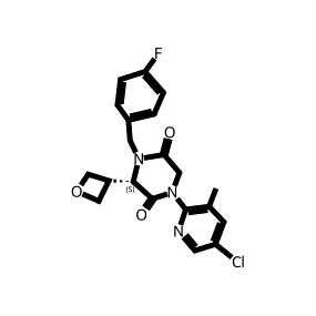 Cc1cc(Cl)cnc1N1CC(=O)N(Cc2ccc(F)cc2)[C@@H](C2COC2)C1=O